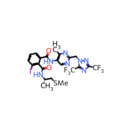 CSC[C@H](C)NC(=O)c1c(I)cccc1C(=O)Nc1cnc(Cn2nc(C(F)(F)F)nc2C(F)(F)F)nc1C